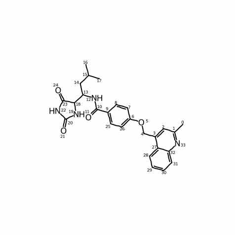 Cc1cc(COc2ccc(C(=O)NC(CC(C)C)C3NC(=O)NC3=O)cc2)c2ccccc2n1